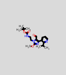 COc1nc(-c2cccnc2C(C)C)c(C=O)n1CCNC(=O)OC(C)(C)C